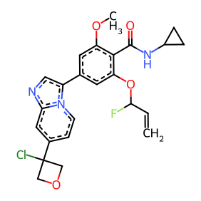 C=CC(F)Oc1cc(-c2cnc3cc(C4(Cl)COC4)ccn23)cc(OC)c1C(=O)NC1CC1